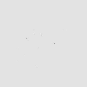 Cc1nc2n(c1C)NN=C(C1(C#N)CC1)S2